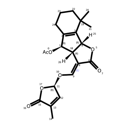 CC(=O)O[C@H]1C2=C([C@@H]3OC(=O)/C(=C/O[C@H]4C=C(C)C(=O)O4)[C@H]13)C(C)(C)CCC2